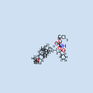 C[C@H](CCCC(C(=O)ONC(=O)OCC(Cl)(Cl)Cl)c1ccccc1)[C@H]1CC[C@H]2[C@@H]3CCC4C[C@H](O[Si](C)(C)C(C)(C)C)CC[C@]4(C)[C@H]3CC[C@]12C